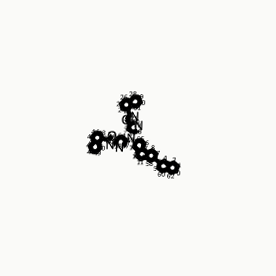 c1ccc2cc(-c3ccc4c(ccc5cc(N(c6cnc7nc(-c8cccc9ccccc89)oc7c6)c6cnc7nc(-c8cccc9ccccc89)oc7c6)ccc54)c3)ccc2c1